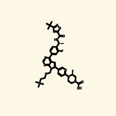 C[C@@H](NC(=O)c1nc(C(C)(C)C)no1)c1ccc(-c2ncnc3c2cc(-c2ccc(N4CCN(C(=O)O)C[C@@H]4C)nc2)n3COCC[Si](C)(C)C)cc1F